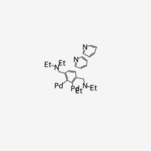 CCN(CC)Cc1ccc(CN(CC)CC)[c]([Pd])[c]1[Pd].c1ccncc1.c1ccncc1